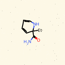 C[CH]C1(C(N)=O)C=CC=CN1